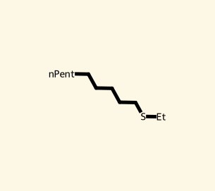 [CH2]CCCCCCCCCSCC